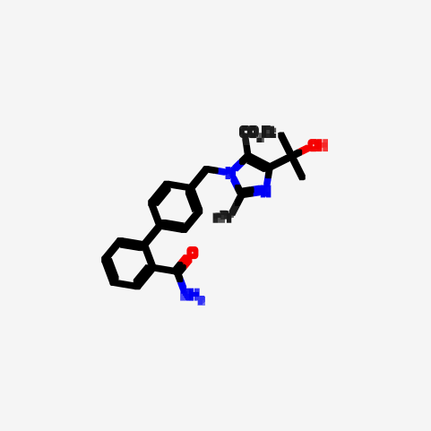 CCCc1nc(C(C)(C)O)c(C(=O)OCC)n1Cc1ccc(-c2ccccc2C(N)=O)cc1